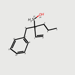 C=CC(CCC)(Cc1ccccc1)[SiH2]O